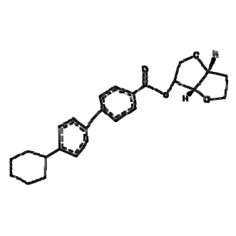 O=C(OC1CO[C@@H]2CCO[C@H]12)c1ccc(-c2ccc(C3CCCCC3)cc2)cc1